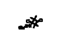 CC(C)(C)/N=N/C1(Cl)C(C)(C)C(=O)C1(C)C